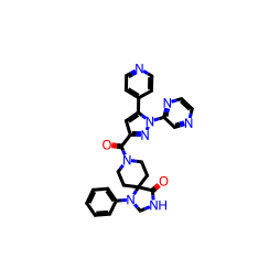 O=C(c1cc(-c2ccncc2)n(-c2cnccn2)n1)N1CCC2(CC1)C(=O)NCN2c1ccccc1